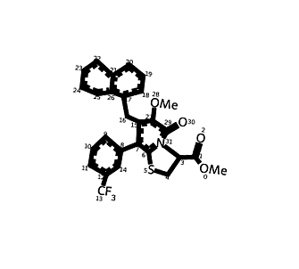 COC(=O)C1CSc2c(-c3cccc(C(F)(F)F)c3)c(Cc3cccc4ccccc34)c(OC)c(=O)n21